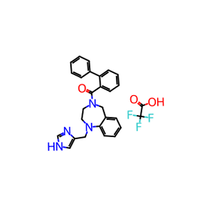 O=C(O)C(F)(F)F.O=C(c1ccccc1-c1ccccc1)N1CCN(Cc2c[nH]cn2)c2ccccc2C1